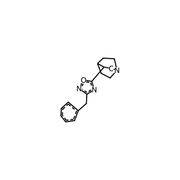 c1ccc(Cc2noc(C3CN4CCC3CC4)n2)cc1